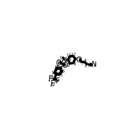 CN(C1CCC(OCCCC#N)CC1)S(=O)(=O)c1ccc(C(F)(F)F)cc1